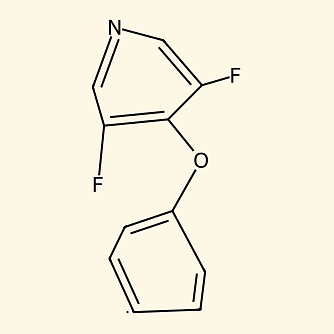 Fc1cncc(F)c1Oc1cc[c]cc1